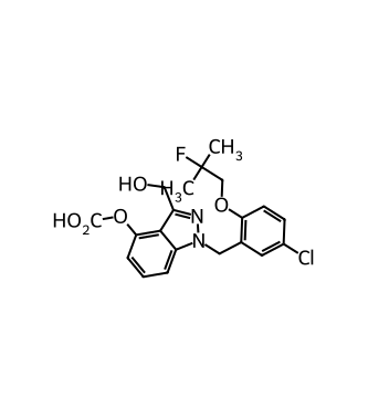 CC(C)(F)COc1ccc(Cl)cc1Cn1nc(CO)c2c(OC(=O)O)cccc21